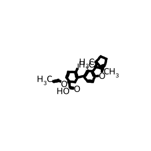 CC=COC1(C(=O)O)C=CC(I)=C(c2ccc3c(c2)C2(C)C4(C)CCC(C4)C2(C)O3)C1